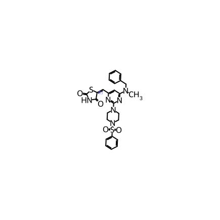 CN(Cc1ccccc1)c1cc(/C=C2/SC(=O)NC2=O)nc(N2CCN(S(=O)(=O)c3ccccc3)CC2)n1